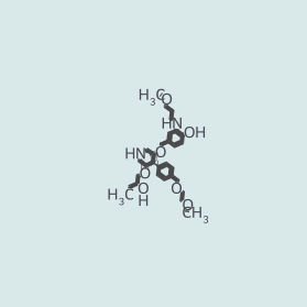 CCC(O)CO[C@@H]1CNC[C@H](OCc2ccc(O)c(NCCCOC)c2)[C@H]1c1ccc(COCCOC)cc1